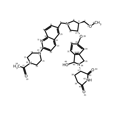 COC[C@@H]1CN(Cc2ccc3nc(N4CCN(C(C)=O)CC4)ccc3c2)C[C@H]1Oc1ccc2c(c1)CN([C@H]1CCC(=O)NC1=O)C2O